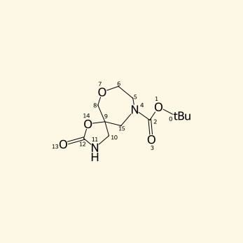 CC(C)(C)OC(=O)N1CCOCC2(CNC(=O)O2)C1